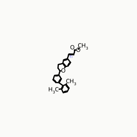 COC(=O)/C=C/c1ccc2c(c1)CCC(c1cccc(-c3c(C)cccc3C)c1)O2